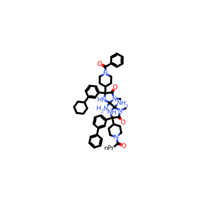 CCCC(=O)N1CCC(C2(c3cccc(-c4ccccc4)c3)NC(N)(C3(N)NC(c4cccc(C5CCCCC5)c4)(C4CCN(C(=O)c5ccccc5)CC4)C(=O)N3C)N(C)C2=O)CC1